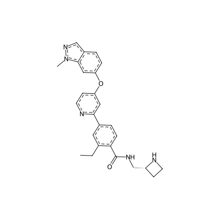 CCc1cc(-c2cc(Oc3ccc4cnn(C)c4c3)ccn2)ccc1C(=O)NC[C@H]1CCN1